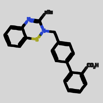 CCCCC1=Nc2ccccc2SN1Cc1ccc(-c2ccccc2C(=O)O)cc1